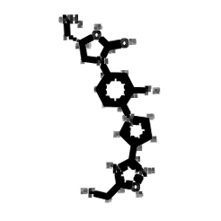 NC[C@H]1CN(c2ccc(-n3ccc(-c4noc(CF)n4)c3)c(F)c2)C(=O)O1